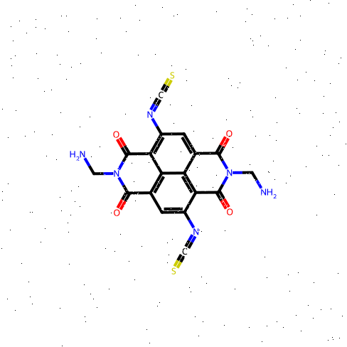 NCN1C(=O)c2cc(N=C=S)c3c4c(cc(N=C=S)c(c24)C1=O)C(=O)N(CN)C3=O